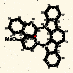 COc1ccc(-n2c3ccccc3c3ccc4c5ccccc5n(-c5cnc6ccccc6n5)c4c32)cc1